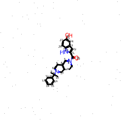 CCN(CC1CCN(C(C)(C)c2ccccc2)CC1)C(=O)c1cc2cc(O)ccc2[nH]1